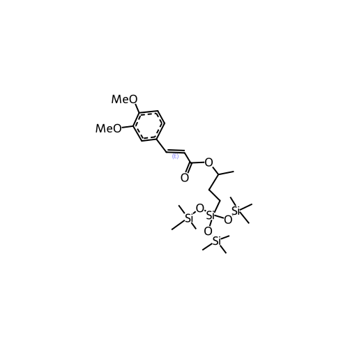 COc1ccc(/C=C/C(=O)OC(C)CC[Si](O[Si](C)(C)C)(O[Si](C)(C)C)O[Si](C)(C)C)cc1OC